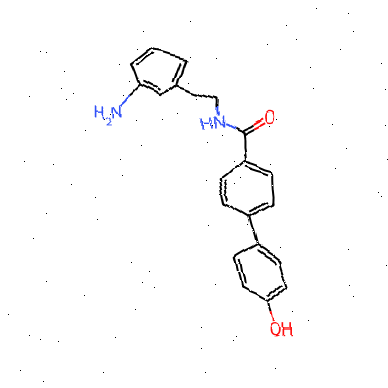 Nc1cccc(CNC(=O)c2ccc(-c3ccc(O)cc3)cc2)c1